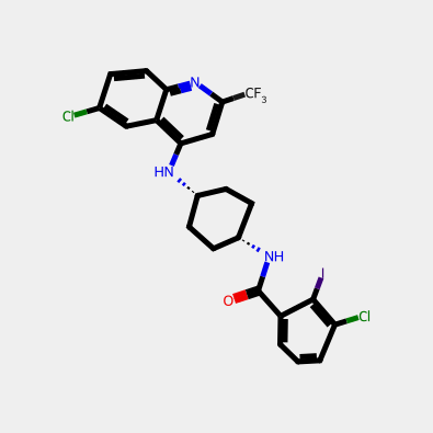 O=C(N[C@H]1CC[C@@H](Nc2cc(C(F)(F)F)nc3ccc(Cl)cc23)CC1)c1cccc(Cl)c1I